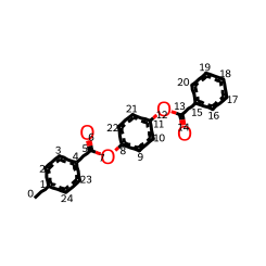 Cc1ccc(C(=O)Oc2ccc(OC(=O)c3ccccc3)cc2)cc1